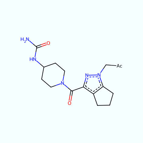 CC(=O)Cn1nc(C(=O)N2CCC(NC(N)=O)CC2)c2c1CCC2